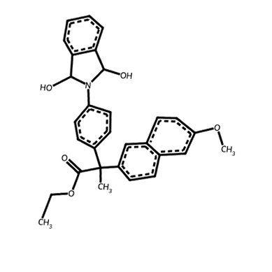 CCOC(=O)C(C)(c1ccc(N2C(O)c3ccccc3C2O)cc1)c1ccc2cc(OC)ccc2c1